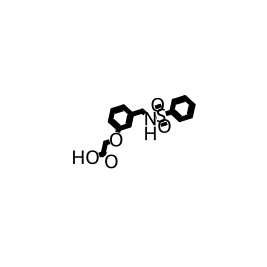 O=C(O)COc1cccc(CNS(=O)(=O)c2ccccc2)c1